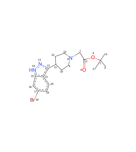 CC(C)(C)OC(=O)CN1CCC(c2n[nH]c3cc(Br)ccc23)CC1